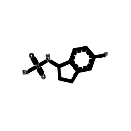 CCS(=O)(=O)NC1CCc2cc(F)ccc21